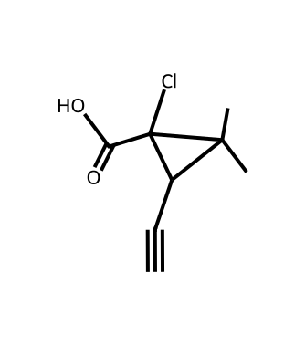 C#CC1C(C)(C)C1(Cl)C(=O)O